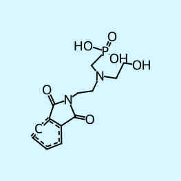 O=C1c2ccccc2C(=O)N1CCN(CCO)CP(=O)(O)O